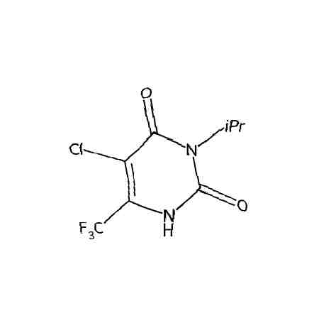 CC(C)n1c(=O)[nH]c(C(F)(F)F)c(Cl)c1=O